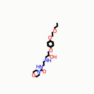 CCCOCCOc1ccc(OCC(O)CNCCNC(=O)N2CCOCC2)cc1